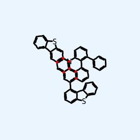 c1ccc(-c2ccccc2-c2c(-c3ccccc3)cccc2N(c2ccc(-c3cccc4sc5ccccc5c34)cc2)c2ccc3c(c2)sc2ccccc23)cc1